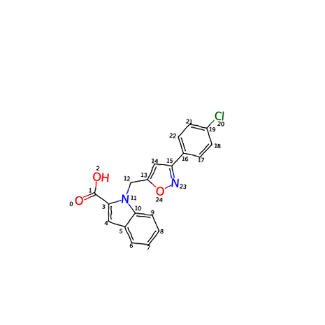 O=C(O)c1cc2ccccc2n1Cc1cc(-c2ccc(Cl)cc2)no1